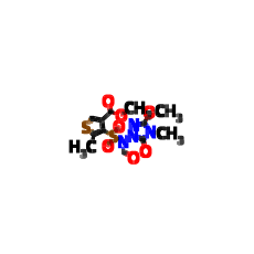 COC(=O)c1csc(C)c1S(=O)(=O)N(C=O)n1nc(OC)n(C)c1=O